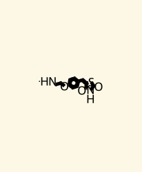 [NH]CCOc1ccc(C=C2SC(=O)NC2=O)cc1